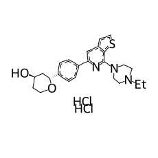 CCN1CCN(c2nc(-c3ccc([C@H]4C[C@H](O)CCO4)cc3)cc3ccsc23)CC1.Cl.Cl